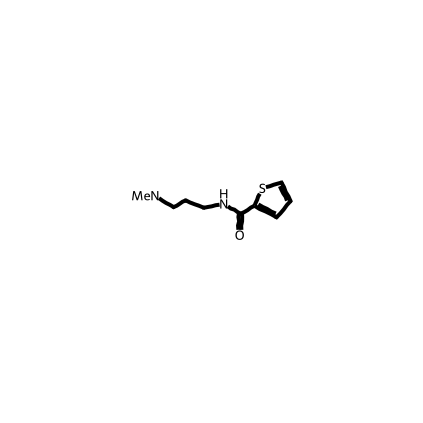 CNCCCNC(=O)c1cccs1